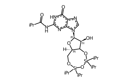 CC(C)C(=O)Nc1nc2c(ncn2[C@@H]2O[C@@H]3CO[Si](C(C)C)(C(C)C)O[Si](C(C)C)(C(C)C)OC3[C@@H]2O)c(=O)[nH]1